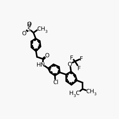 CC(C)Cc1ccc(-c2ccc(NC(=O)Cc3ccc(C(C)[SH](=O)=O)cc3)cc2Cl)c(OC(F)(F)F)c1